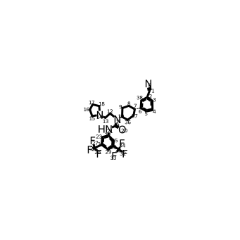 N#Cc1cccc([C@H]2CC[C@@H](N(CCN3CCCC3)C(=O)Nc3cc(C(F)(F)F)cc(C(F)(F)F)c3)CC2)c1